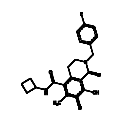 Cn1c(C(=O)NC2CCC2)c2c(c(O)c1=O)C(=O)N(Cc1ccc(F)cc1)CC2